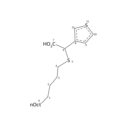 CCCCCCCCCCCCSC(C(=O)O)c1ccsc1